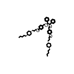 CCCCC[C@H]1CC[C@H](CCCOc2ccc(CO[C@H](c3ccccc3)[C@H](OCc3ccc(OCCC[C@H]4CC[C@H](CCCCC)CC4)cc3)c3ccccc3)cc2)CC1